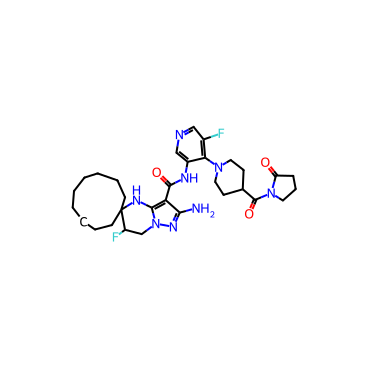 Nc1nn2c(c1C(=O)Nc1cncc(F)c1N1CCC(C(=O)N3CCCC3=O)CC1)NC1(CCCCCCCCC1)C(F)C2